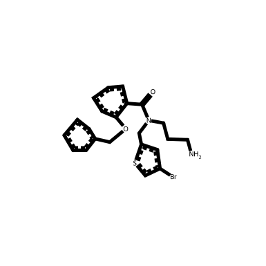 NCCCN(Cc1cc(Br)cs1)C(=O)c1ccccc1OCc1ccccc1